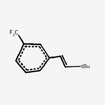 CC(C)(C)/C=C/c1cccc(C(F)(F)F)c1